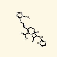 Cn1nnnc1S/C=C/C1=C(C(=O)O)N2C(=O)C(Nc3ncc[nH]3)[C@H]2SC1